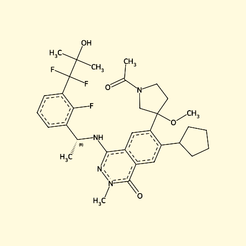 COC1(c2cc3c(N[C@H](C)c4cccc(C(F)(F)C(C)(C)O)c4F)nn(C)c(=O)c3cc2C2CCCC2)CCN(C(C)=O)C1